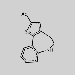 CC(=O)c1cc2c(s1)-c1ccccc1NCC2